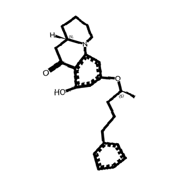 C[C@@H](CCCc1ccccc1)Oc1cc(O)c2c(c1)N1CCCC[C@H]1CC2=O